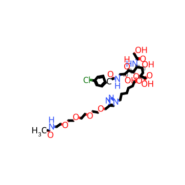 CC(=O)NCCOCCOCCOCCOCc1cn(CCCCCCO[C@]2(C(=O)O)C[C@H](O)[C@@H](NC(=O)CO)[C@H]([C@H](O)[C@H](O)CNC(=O)Cc3ccc(Cl)cc3)O2)nn1